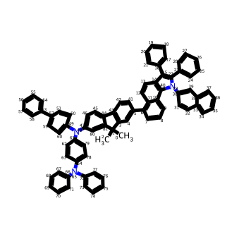 CC1(C)c2cc(-c3cccc4c3ccc3c(-c5ccccc5)c(-c5ccccc5)n(-c5ccc6ccccc6c5)c34)ccc2-c2ccc(N(c3ccc(-c4ccccc4)cc3)c3ccc(N(c4ccccc4)c4ccccc4)cc3)cc21